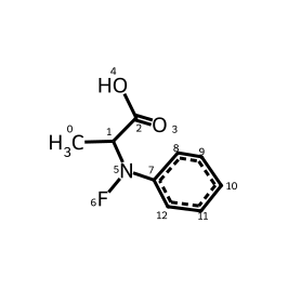 CC(C(=O)O)N(F)c1ccccc1